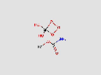 CCOC(N)=O.O[Si]1(O)OOO1